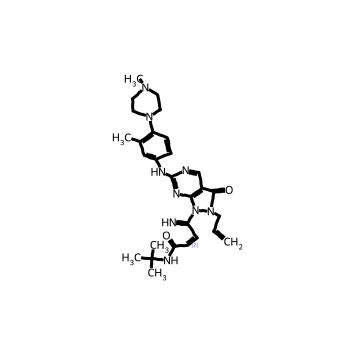 C=CCn1c(=O)c2cnc(Nc3ccc(N4CCN(C)CC4)c(C)c3)nc2n1C(=N)/C=C\C(=O)NC(C)(C)C